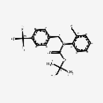 CC(C)(C)OC(=O)N(Cc1ccc(C(F)(F)F)cc1)c1ccccc1I